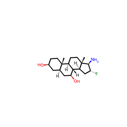 C[C@]12CC[C@H](O)C[C@@H]1C[C@H](O)[C@@H]1[C@@H]2CC[C@]2(C)[C@@H](N)[C@H](F)C[C@@H]12